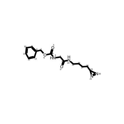 O=C(CNC(=O)OCc1ccccc1)NCCCCC1N=N1